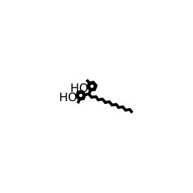 CCCCCCCCCCCCCC(c1ccc(O)c(C)c1)c1cccc(C)c1O